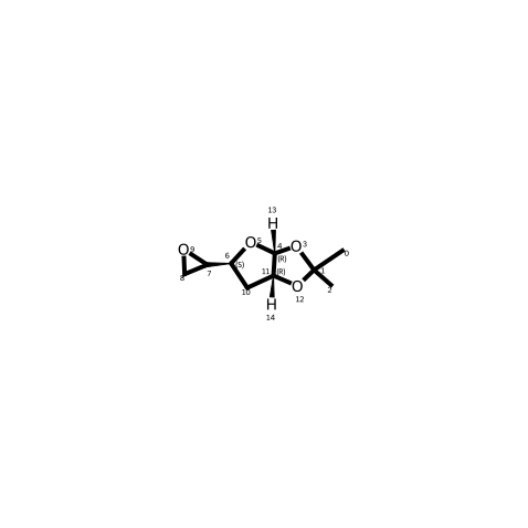 CC1(C)O[C@H]2O[C@H](C3CO3)C[C@H]2O1